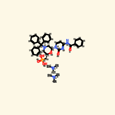 CCN(CC)CC.CCN(CC)CC.O=C(Nc1ccn([C@H]2CN(C(c3ccccc3)(c3ccccc3)c3ccccc3)C[C@@H](CP(=O)(O)O)O2)c(=O)n1)c1ccccc1